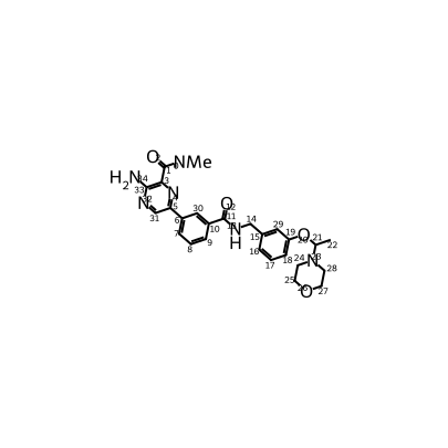 CNC(=O)c1nc(-c2cccc(C(=O)NCc3cccc(OC(C)N4CCOCC4)c3)c2)cnc1N